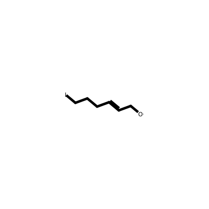 [O]C/C=C/CCCI